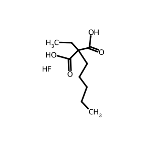 CCCCCC(CC)(C(=O)O)C(=O)O.F